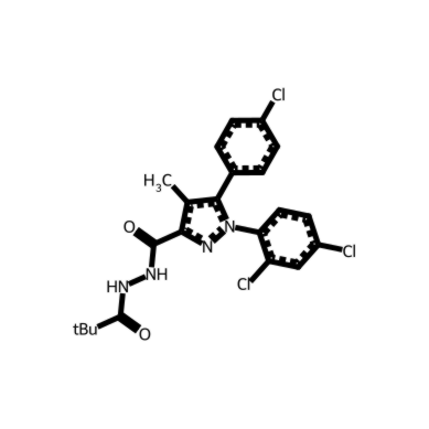 Cc1c(C(=O)NNC(=O)C(C)(C)C)nn(-c2ccc(Cl)cc2Cl)c1-c1ccc(Cl)cc1